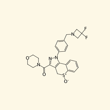 O=C(c1nn(-c2ccc(CN3CC(F)(F)C3)cc2)c2c1C[S+]([O-])c1ccccc1-2)N1CCOCC1